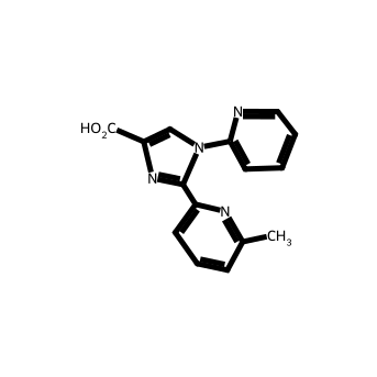 Cc1cccc(-c2nc(C(=O)O)cn2-c2ccccn2)n1